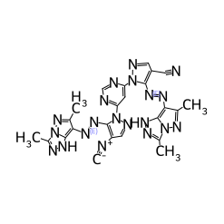 [C-]#[N+]c1cnn(-c2cc(-n3ncc(C#N)c3/N=N/c3c(C)nn4c(C)n[nH]c34)ncn2)c1/N=N/c1c(C)nn2c(C)n[nH]c12